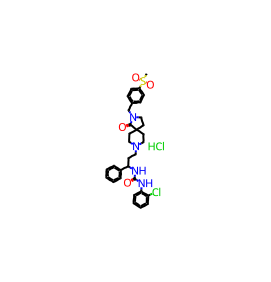 CS(=O)(=O)c1ccc(CN2CCC3(CCN(CCC(NC(=O)Nc4ccccc4Cl)c4ccccc4)CC3)C2=O)cc1.Cl